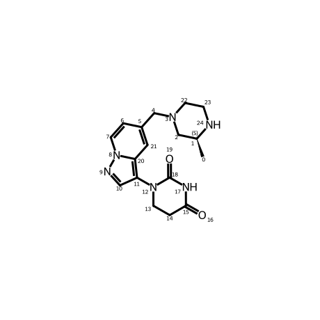 C[C@H]1CN(Cc2ccn3ncc(N4CCC(=O)NC4=O)c3c2)CCN1